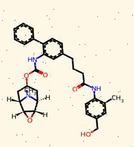 Cc1cc(CO)ccc1NC(=O)CCCc1ccc(-c2ccccc2)c(NC(=O)O[C@H]2C[C@H]3[C@@H]4O[C@@H]4[C@H](C2)N3C)c1